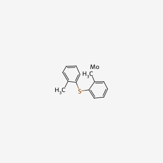 Cc1ccccc1Sc1ccccc1C.[Mo]